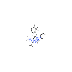 C=C(/C=C\C)[N+](=C)C1(C)C(C)(C(=C)/C=C\C(=C)C(C)(C)C)C12N(C(C)C)C(C(C)C)=[N+]2C(C)C